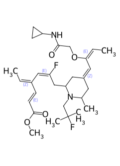 C/C=C(/C=C/C(=O)OC)\C=C(\F)CC1C/C(=C\C(=C/C)OCC(=O)NC2CC2)CC(C)N1CC(C)(C)F